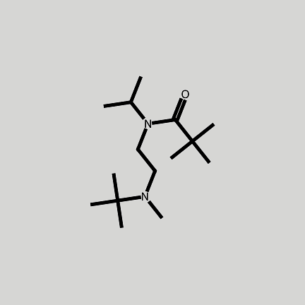 CC(C)N(CCN(C)C(C)(C)C)C(=O)C(C)(C)C